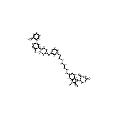 Cn1c(=O)n(C2CCC(=O)NC2=O)c2ccc(CCCCCCCOc3cccc(CN4CCN(c5cc(-c6ccccc6O)nnc5N)CC4)c3)cc21